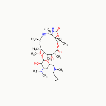 CC[C@H]1OC(=O)C(C)C(=O)[C@H](C)[C@@H](OC2OC(CN(C)CC3CC3)CC(N(C)C)C2O)[C@](C)(OC)C[C@@H](C)CN[C@H](C)[C@H]2NC(=O)O[C@@]21C